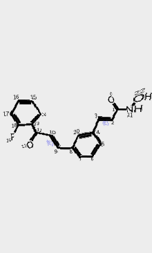 O=C(/C=C/c1cccc(/C=C/C(=O)c2ccccc2F)c1)NO